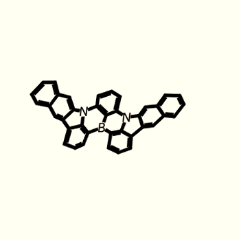 c1cc2c3c(c1)-n1c4cc5ccccc5cc4c4cccc(c41)B3c1cccc3c4cc5ccccc5cc4n-2c13